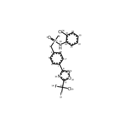 CP(=O)(Cc1ccc(-c2noc(C(F)(F)Cl)n2)cc1)Nc1ccccc1Cl